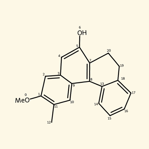 COc1cc2cc(O)c3c(c2cc1C)-c1ccccc1CC3